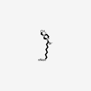 C=CN1C=[N+](CCCCCCCCCCCCCCCC)CC1.[Br-]